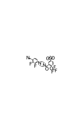 CS(=O)(=O)c1ccc(OC(F)(F)F)c(C(=O)N2CCN(c3ccc(C#N)c(F)c3F)CC2)c1